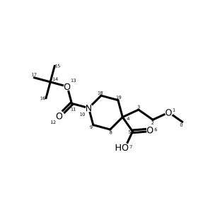 COCCC1(C(=O)O)CCN(C(=O)OC(C)(C)C)CC1